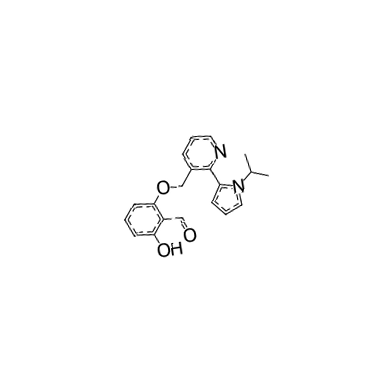 CC(C)n1cccc1-c1ncccc1COc1cccc(O)c1C=O